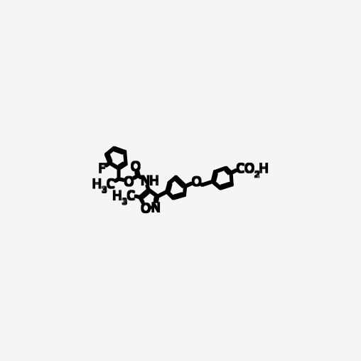 Cc1onc(-c2ccc(OCc3ccc(C(=O)O)cc3)cc2)c1NC(=O)OC(C)c1ccccc1F